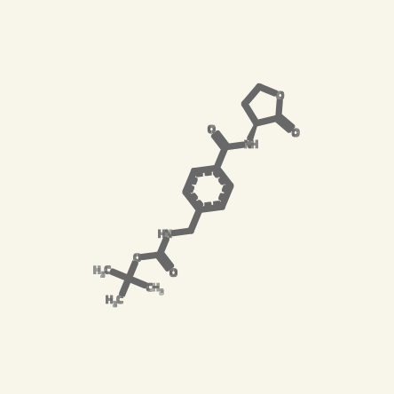 CC(C)(C)OC(=O)NCc1ccc(C(=O)N[C@H]2CCOC2=O)cc1